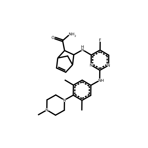 Cc1cc(Nc2ncc(F)c(NC3C4C=CC(C4)C3C(N)=O)n2)cc(C)c1N1CCN(C)CC1